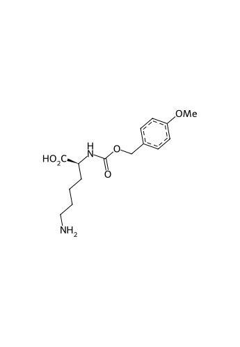 COc1ccc(COC(=O)N[C@@H](CCCCN)C(=O)O)cc1